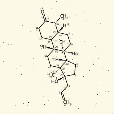 C=CC[C@@]1(O)CC[C@H]2[C@@H]3CC[C@H]4N(C)C(=O)CC[C@]4(C)[C@H]3CC[C@@]21C